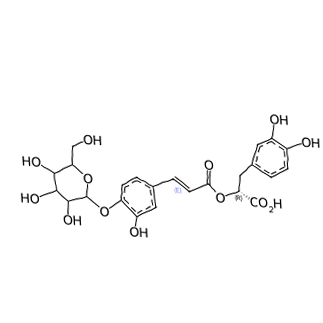 O=C(/C=C/c1ccc(OC2OC(CO)C(O)C(O)C2O)c(O)c1)O[C@H](Cc1ccc(O)c(O)c1)C(=O)O